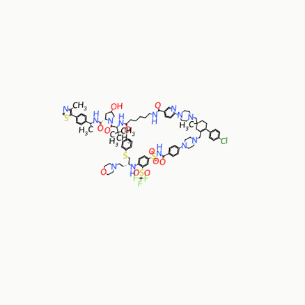 Cc1ncsc1-c1ccc([C@H](C)NC(=O)[C@@H]2C[C@@H](O)CN2C(=O)[C@@H](NC(=O)CCCCCNC(=O)c2ccc(N3CCN(CC4(C)CCC(c5ccc(Cl)cc5)=C(CN5CCN(c6ccc(C(=O)NS(=O)(=O)c7ccc(N[C@H](CCN8CCOCC8)CSc8ccccc8)c(S(=O)(=O)C(F)(F)F)c7)cc6)CC5)C4)CC3)nc2)C(C)(C)C)cc1